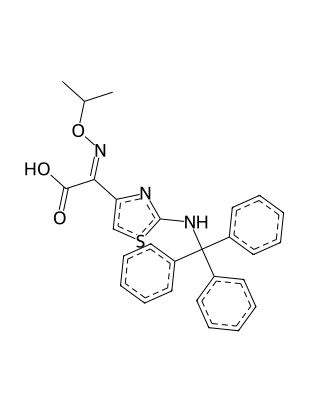 CC(C)ON=C(C(=O)O)c1csc(NC(c2ccccc2)(c2ccccc2)c2ccccc2)n1